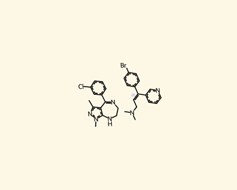 CN(C)C/C=C(/c1ccc(Br)cc1)c1cccnc1.Cc1nn(C)c2c1C(c1cccc(Cl)c1)=NCCN2